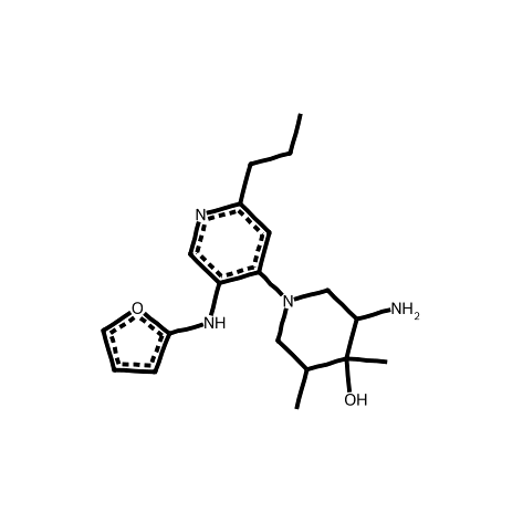 CCCc1cc(N2CC(C)C(C)(O)C(N)C2)c(Nc2ccco2)cn1